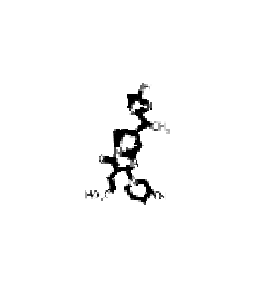 CC(C)c1csc(C(C)c2ccn3c(=O)c(CCC(=O)O)c(N4CCCC(O)C4)nc3c2)n1